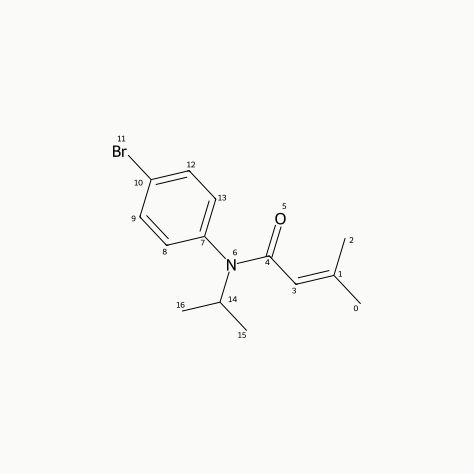 CC(C)=CC(=O)N(c1ccc(Br)cc1)C(C)C